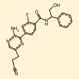 N#CCCc1cnc(N)c(-c2ccc(C(=O)NC(CO)c3ccccc3)c(F)c2)n1